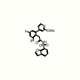 COc1cc(-c2cc(F)cc(C(C)C)c2CC(=O)NS(=O)(=O)c2cccc3ccoc23)ccn1